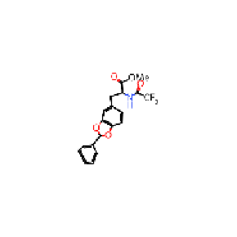 COC(=O)C(Cc1ccc2c(c1)OC(c1ccccc1)O2)NC(=O)C(F)(F)F